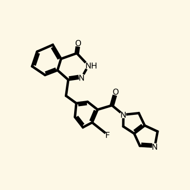 O=C(c1cc(Cc2n[nH]c(=O)c3ccccc23)ccc1F)N1CC2=C(CN=C2)C1